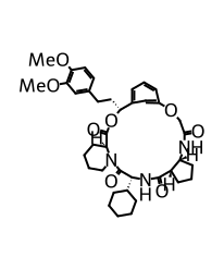 COc1ccc(CC[C@H]2OC(=O)[C@@H]3CCCCN3C(=O)[C@@H](C3CCCCC3)NC(=O)[C@H]3CCC[C@H]3NC(=O)COc3cccc2c3)cc1OC